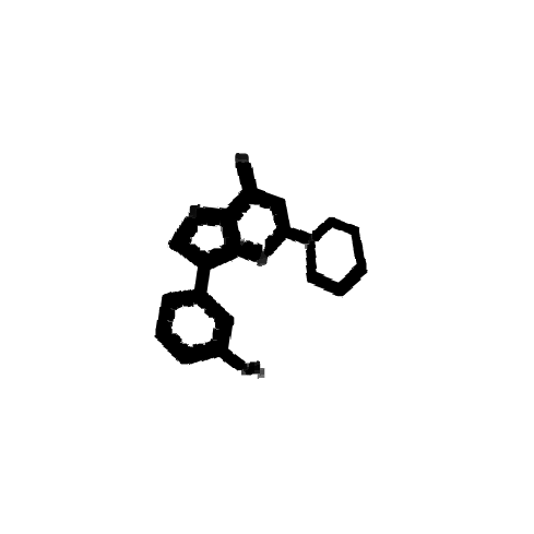 Nc1cccc(-c2csc3c(=O)cc(N4CCCCC4)oc23)c1